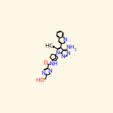 C#Cc1c(-c2cnc3ccccc3c2)c2c(N)ncnc2n1C12CCC(NC(=O)c3cnc(CO)cn3)(CC1)C2